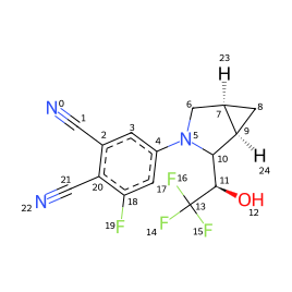 N#Cc1cc(N2C[C@H]3C[C@H]3C2[C@@H](O)C(F)(F)F)cc(F)c1C#N